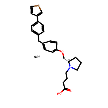 O=C(O)CCCN1CCC[C@H]1COc1ccc(Cc2ccc(-c3ccsc3)cc2)cc1.[NaH]